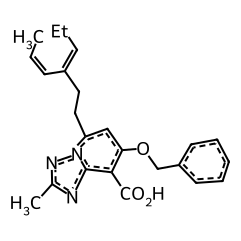 C/C=C\C(=C/CC)CCc1cc(OCc2ccccc2)c(C(=O)O)c2nc(C)nn12